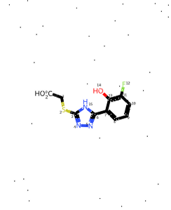 O=C(O)CSc1nnc(-c2cccc(F)c2O)[nH]1